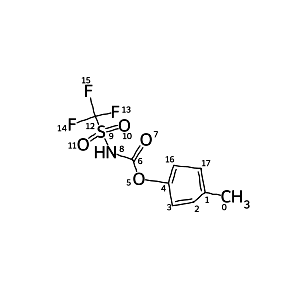 Cc1ccc(OC(=O)NS(=O)(=O)C(F)(F)F)cc1